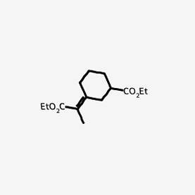 CCOC(=O)C(C)=C1CCCC(C(=O)OCC)C1